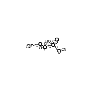 Cc1c(OCCCN2CCOCC2)cccc1-c1cccc(COc2cc(OCc3cncc(C#N)c3)c(CN3CCCCC3C(=O)O)cc2Cl)c1Cl